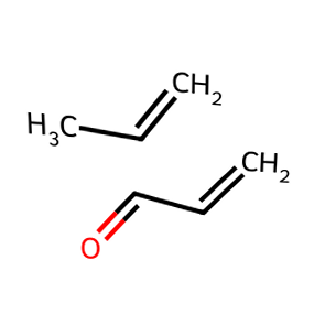 C=CC.C=CC=O